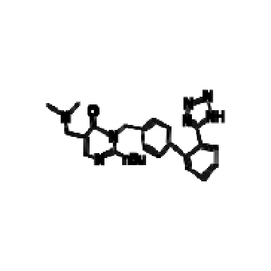 CCCCc1ncc(CN(C)C)c(=O)n1Cc1ccc(-c2ccccc2-c2nnn[nH]2)cc1